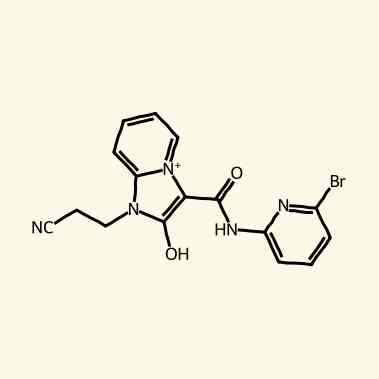 N#CCCn1c(O)c(C(=O)Nc2cccc(Br)n2)[n+]2ccccc12